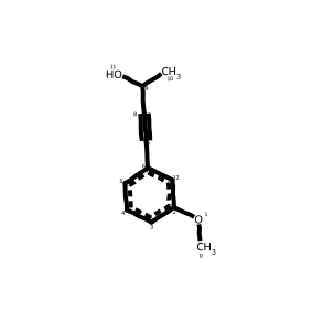 COc1cccc(C#CC(C)O)c1